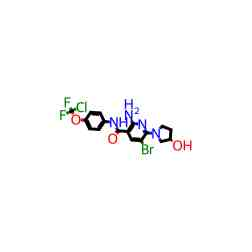 Nc1nc(N2CC[C@@H](O)C2)c(Br)cc1C(=O)Nc1ccc(OC(F)(F)Cl)cc1